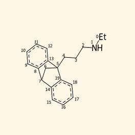 CCNCCCC12CC(c3ccccc31)c1ccccc12